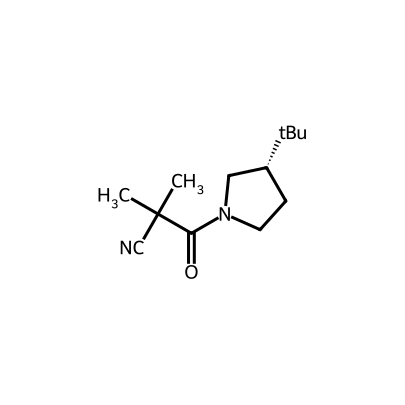 CC(C)(C#N)C(=O)N1CC[C@@H](C(C)(C)C)C1